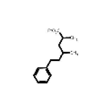 CCOC(=O)C(C)CC(C)CCc1ccccc1